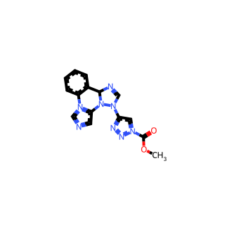 COC(=O)n1cc(N2C=NC3c4ccccc4-n4cncc4N32)nn1